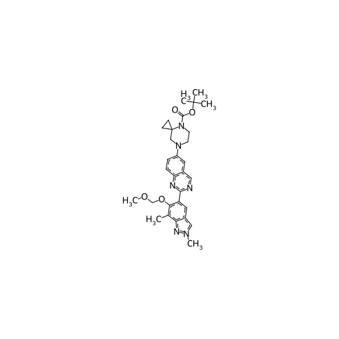 COCOc1c(-c2ncc3cc(N4CCN(C(=O)OC(C)(C)C)C5(CC5)C4)ccc3n2)cc2cn(C)nc2c1C